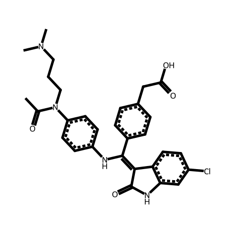 CC(=O)N(CCCN(C)C)c1ccc(N/C(=C2\C(=O)Nc3cc(Cl)ccc32)c2ccc(CC(=O)O)cc2)cc1